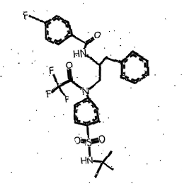 CC(C)(C)NS(=O)(=O)c1ccc(N(CC(Cc2ccccc2)NC(=O)c2ccc(F)cc2)C(=O)C(F)(F)F)cc1